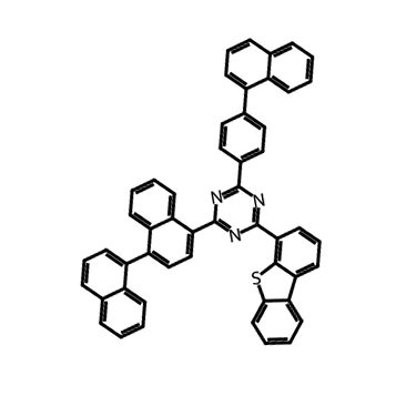 c1ccc2c(-c3ccc(-c4nc(-c5ccc(-c6cccc7ccccc67)c6ccccc56)nc(-c5cccc6c5sc5ccccc56)n4)cc3)cccc2c1